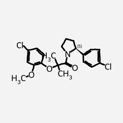 COc1cc(Cl)ccc1OC(C)(C)C(=O)N1CCC[C@H]1c1ccc(Cl)cc1